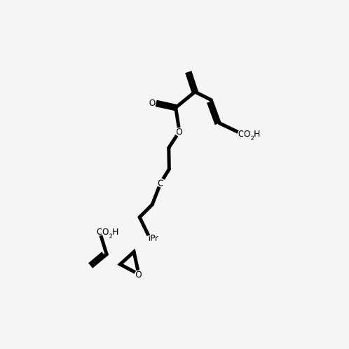 C1CO1.C=C(C=CC(=O)O)C(=O)OCCCCCC(C)C.C=CC(=O)O